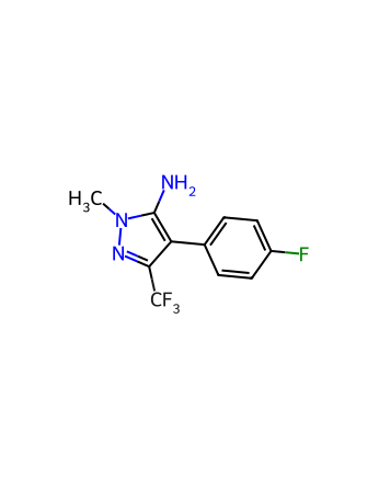 Cn1nc(C(F)(F)F)c(-c2ccc(F)cc2)c1N